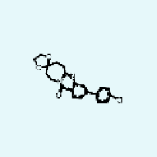 O=c1c2ccc(-c3ccc(Cl)cc3)cc2nc2n1CCC1(CC2)OCCO1